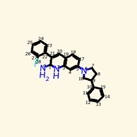 NC1Nc2cc(N3CCC(c4ccccc4)C3)ccc2C=C1c1ccccc1F